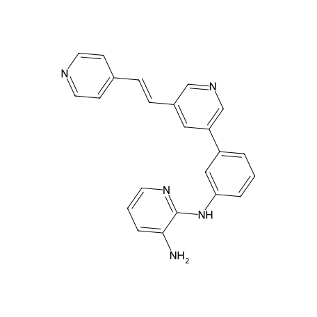 Nc1cccnc1Nc1cccc(-c2cncc(/C=C/c3ccncc3)c2)c1